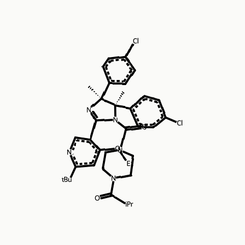 CCOc1cc(C(C)(C)C)ncc1C1=N[C@@](C)(c2ccc(Cl)cc2)[C@@](C)(c2ccc(Cl)cc2)N1C(=O)N1CCN(C(=O)C(C)C)CC1